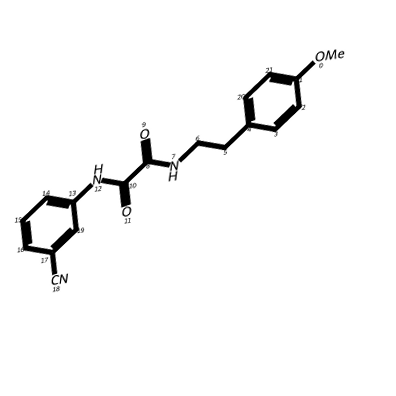 COc1ccc(CCNC(=O)C(=O)Nc2cccc(C#N)c2)cc1